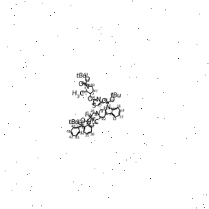 C[C@@H]1[C@H](Oc2ncc([C@@H]3c4c(c5ccccc5n4C(=O)OC(C)(C)C)C[C@@H](C)N3CC(F)(F)CO[Si](c3ccccc3)(c3ccccc3)C(C)(C)C)s2)CCN1C(=O)OC(C)(C)C